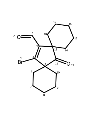 O=CC1=C(Br)C2(CCCCC2)C(=O)C12CCCCC2